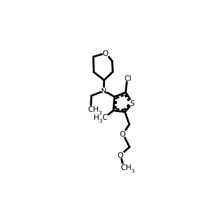 CCN(c1c(Cl)sc(COCOC)c1C)C1CCOCC1